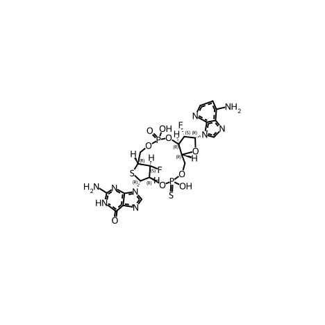 Nc1nc2c(ncn2[C@@H]2S[C@@H]3COP(=O)(O)O[C@H]4[C@H](F)[C@H](n5cnc6c(N)ccnc65)O[C@@H]4COP(O)(=S)O[C@@H]2[C@@H]3F)c(=O)[nH]1